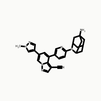 Cn1cc(-c2cc(-c3ccc(N4C5CC6CC4CC(N)(C6)C5)nc3)c3c(C#N)cnn3c2)cn1